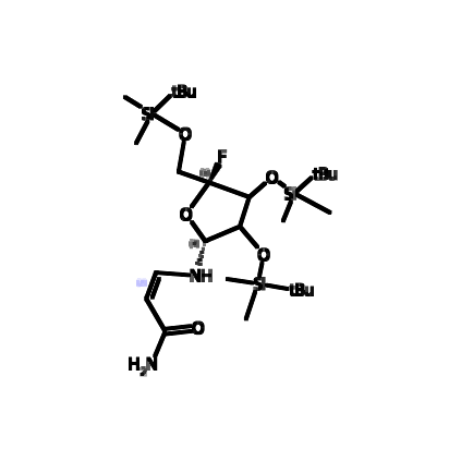 CC(C)(C)[Si](C)(C)OC[C@@]1(F)O[C@@H](N/C=C\C(N)=O)C(O[Si](C)(C)C(C)(C)C)C1O[Si](C)(C)C(C)(C)C